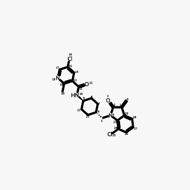 C=C1C(=O)N(C[C@H]2CC[C@H](NC(=O)c3cc(Cl)cnc3C)CC2)c2c(Cl)cccc21